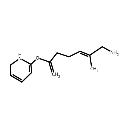 C=C(CC/C=C(\C)CN)OC1=CC=CCN1